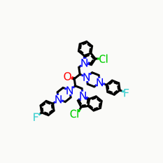 O=C(C(Cn1cc(Cl)c2ccccc21)N1CCN(c2ccc(F)cc2)CC1)C(Cn1cc(Cl)c2ccccc21)N1CCN(c2ccc(F)cc2)CC1